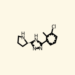 Cc1c(Cl)cccc1-c1nnc([C@@H]2CCCN2)[nH]1